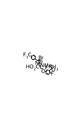 CNC(CCOc1ccc(F)c(C(N)=O)c1F)(C(=O)O)c1nc(-c2ccc(C(F)(F)F)cc2)c(Br)o1